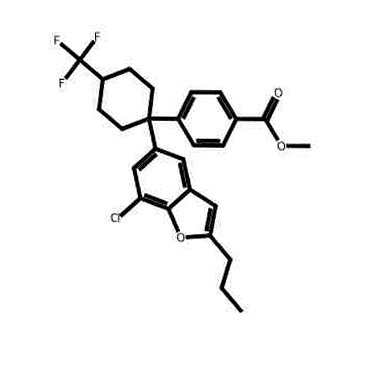 CCCc1cc2cc(C3(c4ccc(C(=O)OC)cc4)CCC(C(F)(F)F)CC3)cc(Cl)c2o1